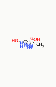 CCCC(C(=O)O)[C@H](Cc1ccc(NCCO)nc1)c1nnn[nH]1